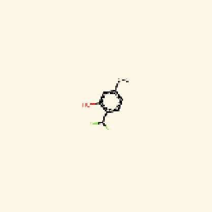 O=Cc1ccc(C(F)F)c(O)c1